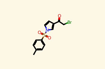 Cc1ccc(S(=O)(=O)n2ccc(C(=O)CBr)c2)cc1